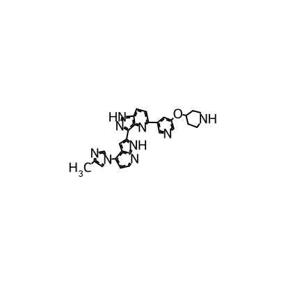 Cc1cn(-c2ccnc3[nH]c(-c4n[nH]c5ccc(-c6cncc(OC7CCNCC7)c6)nc45)cc23)cn1